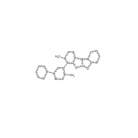 Cc1ccc2c(oc3oc4ccccc4c32)c1-c1cc(-c2ccccc2)nc[n+]1C